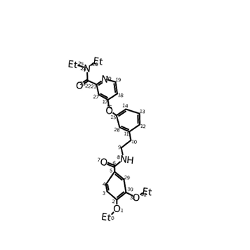 CCOc1ccc(C(=O)NCCc2cccc(Oc3ccnc(C(=O)N(CC)CC)c3)c2)cc1OCC